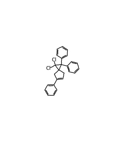 ClC1(Cl)C2(CC=C(c3ccccc3)C2)C1(c1ccccc1)c1ccccc1